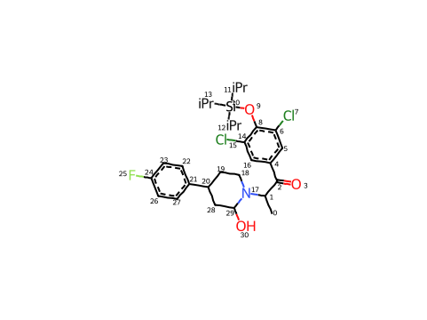 CC(C(=O)c1cc(Cl)c(O[Si](C(C)C)(C(C)C)C(C)C)c(Cl)c1)N1CCC(c2ccc(F)cc2)CC1O